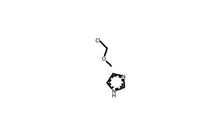 COCCl.c1c[nH]cn1